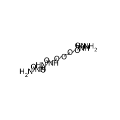 NCC(=O)NCC(=O)NCC(=O)NCCOCCOCCOCCOC(=O)NNN